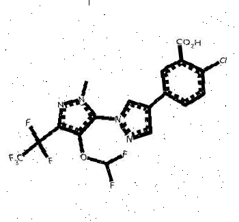 Cn1nc(C(F)(F)C(F)(F)F)c(OC(F)F)c1-n1cc(-c2ccc(Cl)c(C(=O)O)c2)cn1